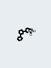 O=c1[nH]nc2ccc(-c3cccc(-c4ccccc4)c3)cn12